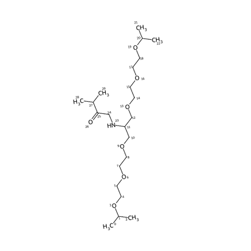 CC(C)OCCOCCOCC(COCCOCCOC(C)C)NCC(=O)C(C)C